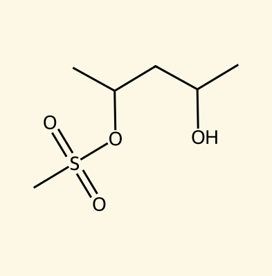 CC(O)CC(C)OS(C)(=O)=O